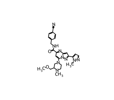 COCC1CN(c2cc(C(=O)NCc3ccc(C#N)cc3)nc3cc(-c4ccnn4C)nn23)CCN1C